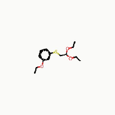 CCOc1cccc(SCC(OCC)OCC)c1